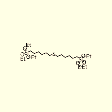 CCO[Si](CCCCCCSCCCCCC[Si](OCC)(OCC)OCC)(OCC)OCC